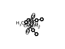 Cc1cc2ccc(=O)n(C(C(=O)N(C)C(CN3CCOCC3)c3ccc(-c4ccccc4)cc3)N(C)C(CN3CCOCC3)c3ccc(-c4ccccc4)cc3)c2cc1C